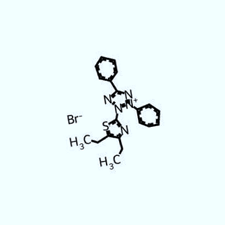 CCc1nc(-n2nc(-c3ccccc3)n[n+]2-c2ccccc2)sc1CC.[Br-]